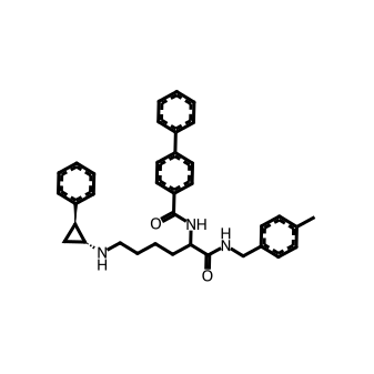 Cc1ccc(CNC(=O)C(CCCCN[C@@H]2C[C@H]2c2ccccc2)NC(=O)c2ccc(-c3ccccc3)cc2)cc1